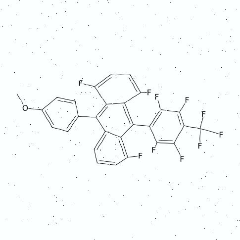 COc1ccc(-c2c3cccc(F)c3c(-c3c(F)c(F)c(C(F)(F)F)c(F)c3F)c3c(F)ccc(F)c23)cc1